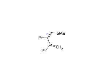 C=C(/C(=C\SC)C(C)C)C(C)C